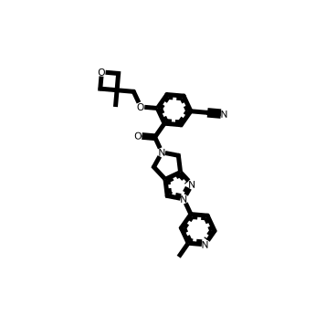 Cc1cc(-n2cc3c(n2)CN(C(=O)c2cc(C#N)ccc2OCC2(C)COC2)C3)ccn1